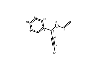 C=COC(C#CC)c1ccccc1